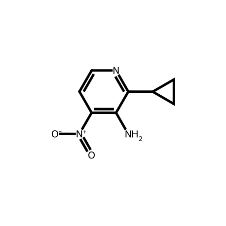 Nc1c([N+](=O)[O-])ccnc1C1CC1